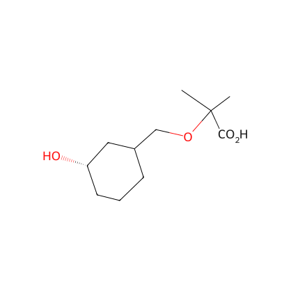 CC(C)(OCC1CCC[C@H](O)C1)C(=O)O